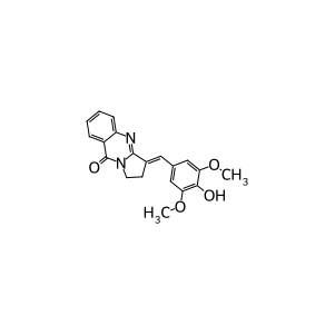 COc1cc(/C=C2\CCn3c2nc2ccccc2c3=O)cc(OC)c1O